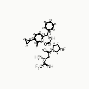 N=C(N(N)CC(=O)N1C[C@H](F)C[C@H]1C(=O)N[C@@H](c1ccccc1)c1ccc(C2CC2)c(F)n1)C(F)(F)F